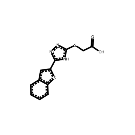 O=C(O)CSc1nnc(-c2cc3ccccc3s2)[nH]1